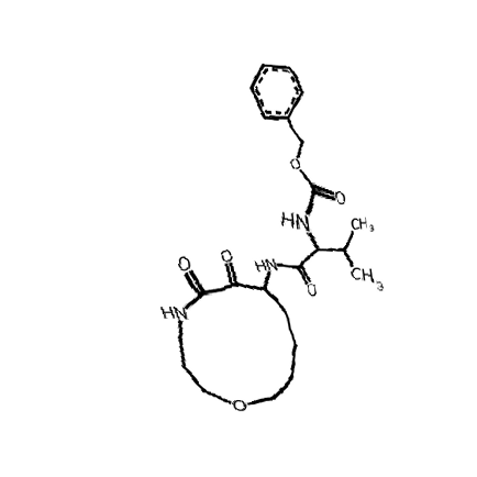 CC(C)C(NC(=O)OCc1ccccc1)C(=O)NC1CCCCOCCCNC(=O)C1=O